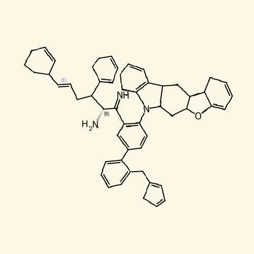 N=C(c1cc(-c2ccccc2CC2=CC=CC2)ccc1N1C2=C(C=CCC2)C2CC3C(CC21)OC1=CC=CCC13)[C@H](N)C(C/C=C/C1C=CCCC1)C1=CC=CCC1